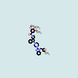 COc1cc(C(=O)N2CCC(CCN3CCCN(c4nc5ccccc5n4Cc4coc(C)c4)CC3)(c3ccccc3)C2)cc(OC)c1OC